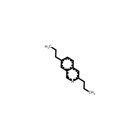 CCCc1ccc2cc(CCC)ncc2c1